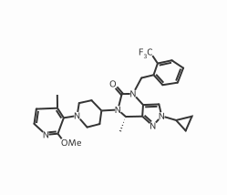 COc1nccc(C)c1N1CCC(N2C(=O)N(Cc3ccccc3C(F)(F)F)c3cn(C4CC4)nc3[C@@H]2C)CC1